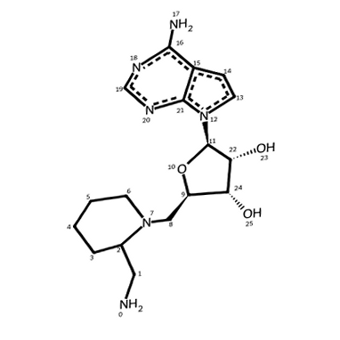 NCC1CCCCN1C[C@H]1O[C@@H](n2ccc3c(N)ncnc32)[C@H](O)[C@@H]1O